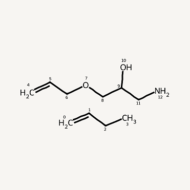 C=CCC.C=CCOCC(O)CN